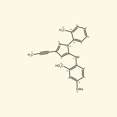 CC#Cc1cc(Nc2ccc(OC)cc2C(=O)O)n(-c2ccccc2C)n1